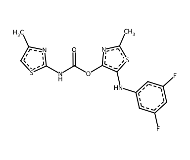 Cc1csc(NC(=O)Oc2nc(C)sc2Nc2cc(F)cc(F)c2)n1